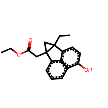 CCOC(=O)CC1(c2ccccc2)CC1(CC)c1ccc(O)cc1